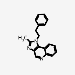 Cc1nc2cnc3ccccc3c2n1CCc1ccccc1